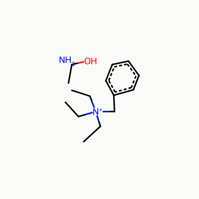 CCO.CC[N+](CC)(CC)Cc1ccccc1.N